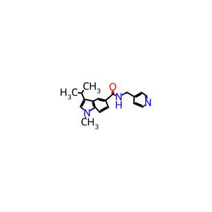 CC(C)c1cn(C)c2ccc(C(=O)NCc3ccncc3)cc12